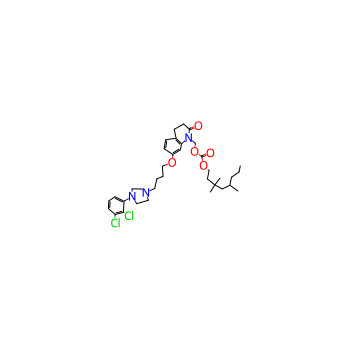 CCCC(C)CC(C)(C)CCOC(=O)OCN1C(=O)CCc2ccc(OCCCCN3CCN(c4cccc(Cl)c4Cl)CC3)cc21